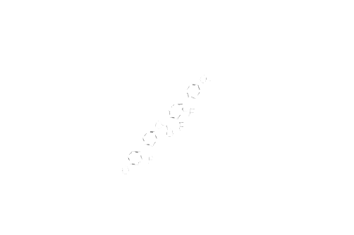 CCOc1ccc(-c2ccc(C(=O)Oc3ccc(-c4ccc(OCC)cc4F)cc3)c(F)c2F)cc1